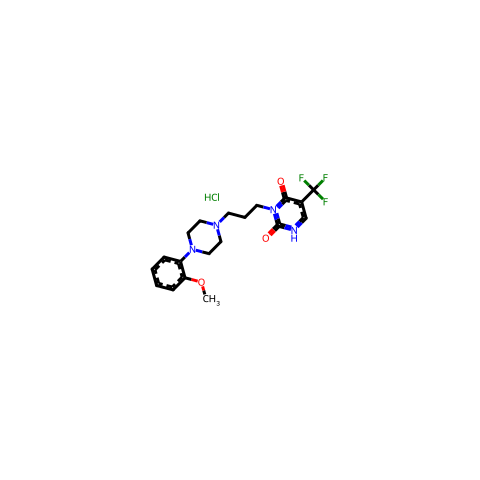 COc1ccccc1N1CCN(CCCn2c(=O)[nH]cc(C(F)(F)F)c2=O)CC1.Cl